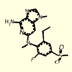 CCc1cc(S(C)(=O)=O)cc(F)c1N(C)c1cc2c(ncn2C)c(N)n1